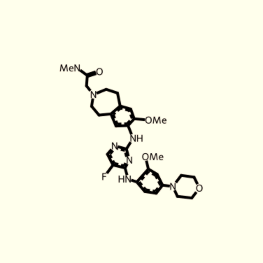 CNC(=O)CN1CCc2cc(Nc3ncc(F)c(Nc4ccc(N5CCOCC5)cc4OC)n3)c(OC)cc2CC1